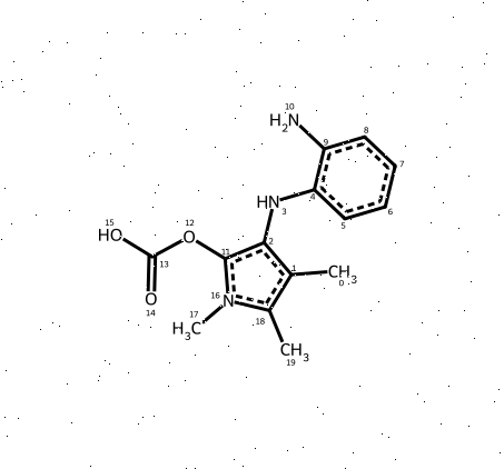 Cc1c(Nc2ccccc2N)c(OC(=O)O)n(C)c1C